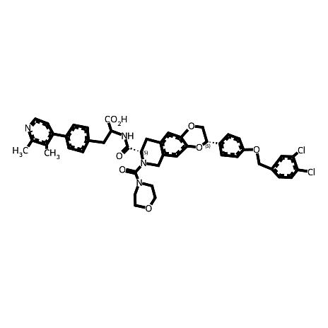 Cc1nccc(-c2ccc(CC(NC(=O)[C@@H]3Cc4cc5c(cc4CN3C(=O)N3CCOCC3)O[C@@H](c3ccc(OCc4ccc(Cl)c(Cl)c4)cc3)CO5)C(=O)O)cc2)c1C